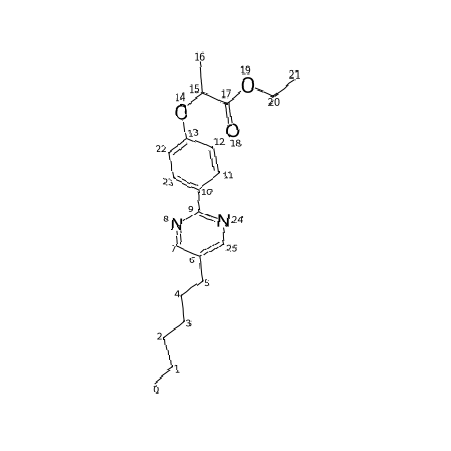 CCCCCCc1cnc(-c2ccc(OC(C)C(=O)OCC)cc2)nc1